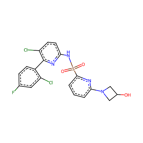 O=S(=O)(Nc1ccc(Cl)c(-c2ccc(F)cc2Cl)n1)c1cccc(N2CC(O)C2)n1